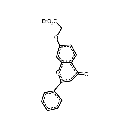 CCOC(=O)COc1ccc2c(=O)cc(-c3ccccc3)oc2c1